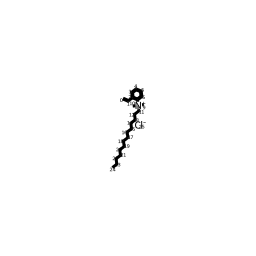 C=Cc1ccccc1[N+](C)(C)CCCCCCCCCCCCCC.[Cl-]